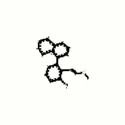 CO/C=C/c1c(Cl)cccc1-c1cccc2ccccc12